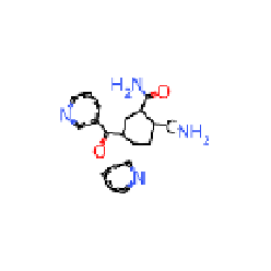 NCC1CCC(C(=O)c2cccnc2)CC1C(N)=O.c1ccncc1